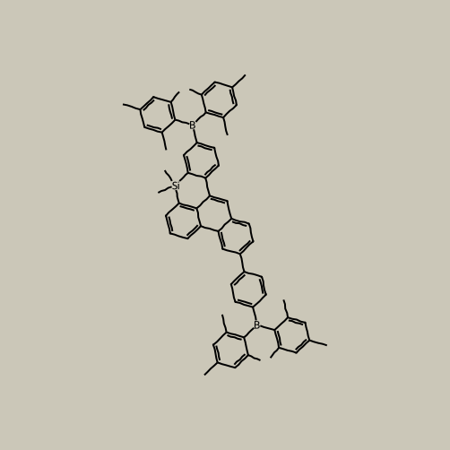 Cc1cc(C)c(B(c2ccc(-c3ccc4cc5c6c(cccc6c4c3)[Si](C)(C)c3cc(B(c4c(C)cc(C)cc4C)c4c(C)cc(C)cc4C)ccc3-5)cc2)c2c(C)cc(C)cc2C)c(C)c1